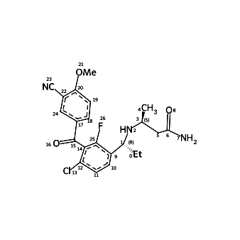 CC[C@@H](N[C@@H](C)CC(N)=O)c1ccc(Cl)c(C(=O)c2ccc(OC)c(C#N)c2)c1F